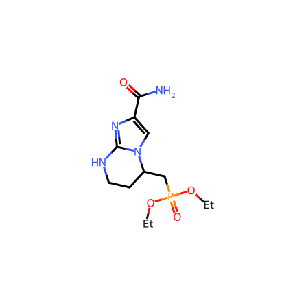 CCOP(=O)(CC1CCNc2nc(C(N)=O)cn21)OCC